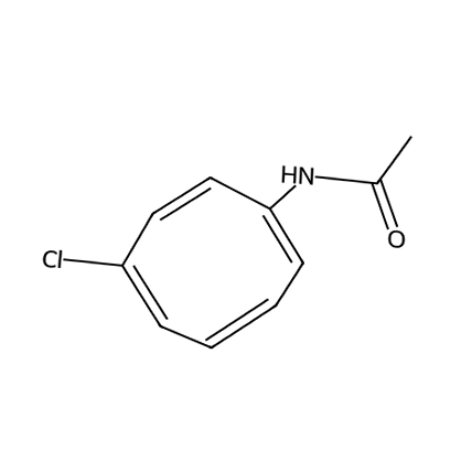 CC(=O)NC1=C/C=C\C=C(Cl)/C=C\1